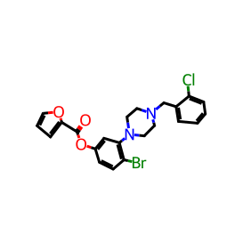 O=C(Oc1ccc(Br)c(N2CCN(Cc3ccccc3Cl)CC2)c1)c1ccco1